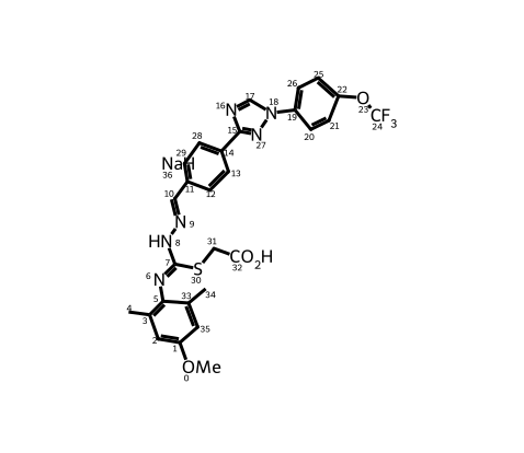 COc1cc(C)c(N=C(NN=Cc2ccc(-c3ncn(-c4ccc(OC(F)(F)F)cc4)n3)cc2)SCC(=O)O)c(C)c1.[NaH]